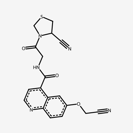 N#CCOc1ccc2nccc(C(=O)NCC(=O)N3CSCC3C#N)c2c1